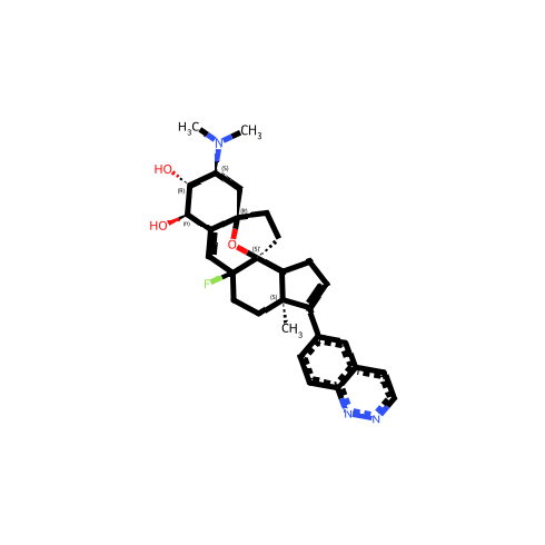 CN(C)[C@H]1C[C@@]23CC[C@]4(O2)C2CC=C(c5ccc6nnccc6c5)[C@@]2(C)CCC4(F)C=C3[C@@H](O)[C@@H]1O